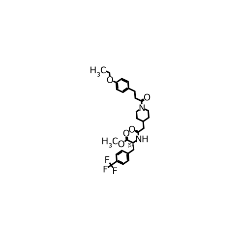 CCOc1ccc(CCC(=O)N2CCC(CC(=O)N[C@@H](Cc3ccc(C(F)(F)F)cc3)C(=O)OC)CC2)cc1